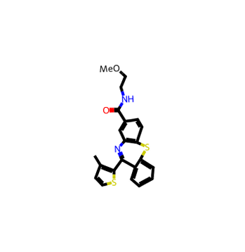 COCCNC(=O)c1ccc2c(c1)N=C(c1sccc1C)c1ccccc1S2